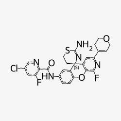 NC1=N[C@@]2(CCS1)c1cc(NC(=O)c3ncc(Cl)cc3F)ccc1Oc1c2cc(C2=CCOCC2)nc1F